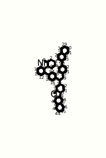 CC1CCC=CC1c1c(N)cccc1-c1ccc(C(Cc2ccc(-c3ccc4ccccc4c3)cc2)C2=CC3Oc4cc5ccccc5cc4C3C=C2)cc1